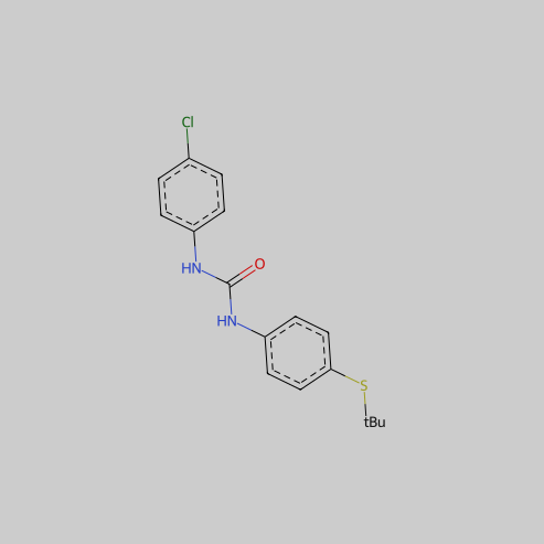 CC(C)(C)Sc1ccc(NC(=O)Nc2ccc(Cl)cc2)cc1